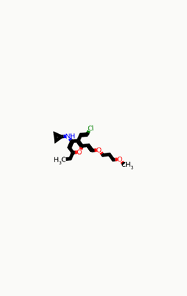 CCC1C=C(NC2CC2)C(/C=C/Cl)=C(/C=C/OCCCOC)O1